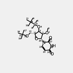 CO[C@@H]1C(O[Si](C)(C)C(C)(C)C)[C@@H](COC(C)(C)C)O[C@H]1n1ccc(=O)[nH]c1=O